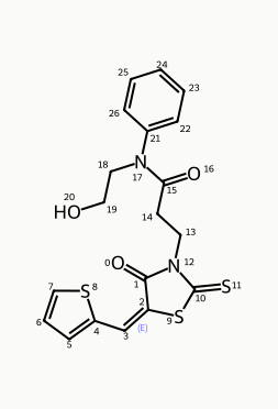 O=C1/C(=C\c2cccs2)SC(=S)N1CCC(=O)N(CCO)c1ccccc1